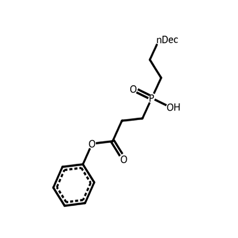 CCCCCCCCCCCCP(=O)(O)CCC(=O)Oc1ccccc1